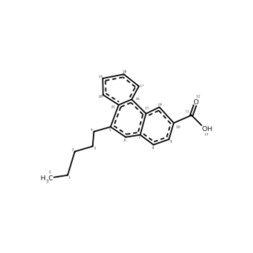 CCCCCc1cc2ccc(C(=O)O)cc2c2ccccc12